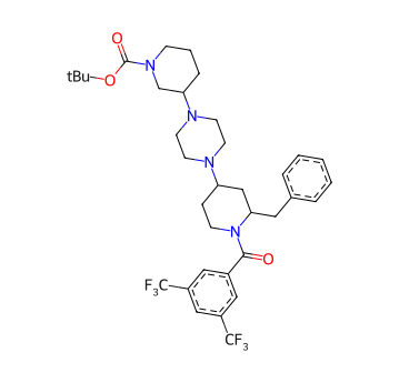 CC(C)(C)OC(=O)N1CCCC(N2CCN(C3CCN(C(=O)c4cc(C(F)(F)F)cc(C(F)(F)F)c4)C(Cc4ccccc4)C3)CC2)C1